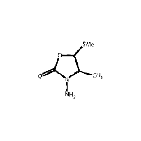 CSC1OC(=O)N(N)C1C